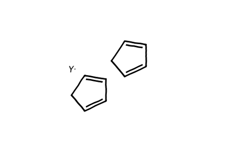 C1=CCC=C1.C1=CCC=C1.[Y]